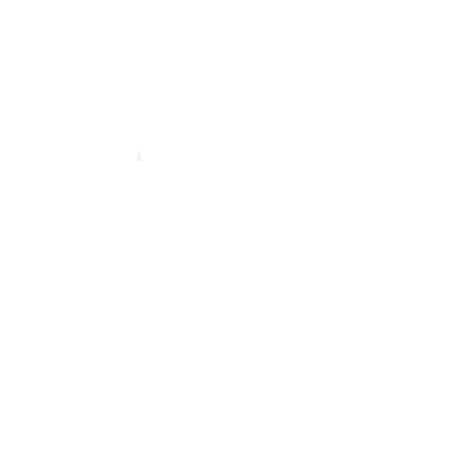 Cc1cc(F)ccc[nH]c2c1C(C)(C)C1C=CC2C1